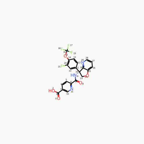 O=C(O)c1ccc(C(=O)N[C@@]2(c3ccc(OC(F)(F)F)c(F)c3)COc3cccnc32)nc1